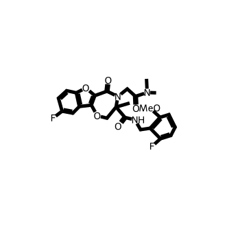 COc1cccc(F)c1CNC(=O)C1(C)COc2c(oc3ccc(F)cc23)C(=O)N1CC(=O)N(C)C